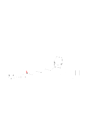 COC(=O)CCCCCC1C2CCC(C2)C1C(=O)O